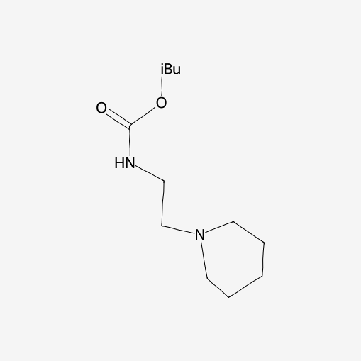 CCC(C)OC(=O)NCCN1CCCCC1